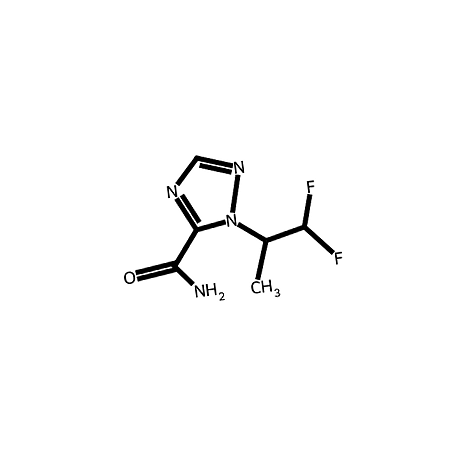 CC(C(F)F)n1ncnc1C(N)=O